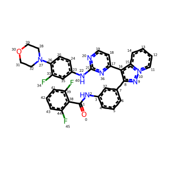 O=C(Nc1cccc(-c2nn3ccccc3c2-c2ccnc(Nc3ccc(N4CCOCC4)c(F)c3)n2)c1)c1c(F)cccc1F